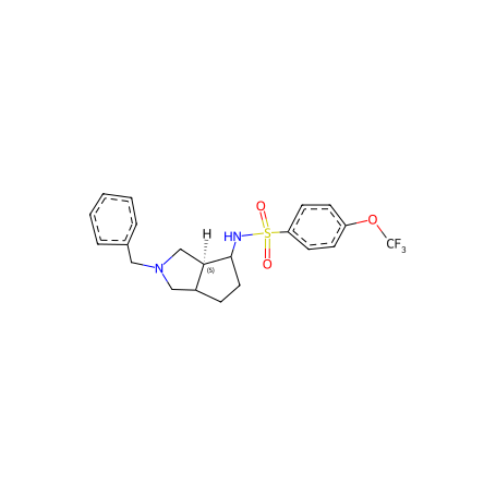 O=S(=O)(NC1CCC2CN(Cc3ccccc3)C[C@H]21)c1ccc(OC(F)(F)F)cc1